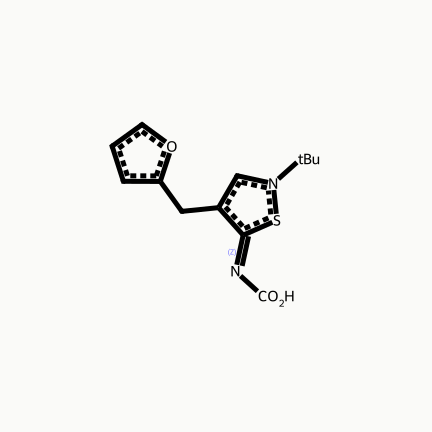 CC(C)(C)n1cc(Cc2ccco2)/c(=N/C(=O)O)s1